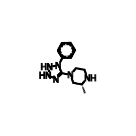 C[C@@H]1CN(C2=NNNN2c2ccccc2)CCN1